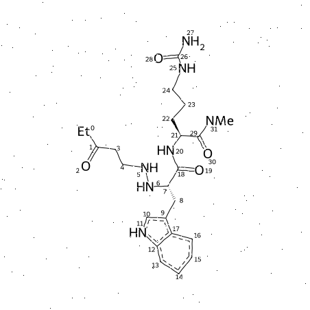 CCC(=O)CCNN[C@@H](Cc1c[nH]c2ccccc12)C(=O)N[C@@H](CCCNC(N)=O)C(=O)NC